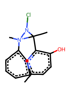 Cc1ccc(O)c(C2(C)N(Cl)[N+]2(C)c2ccccc2)n1